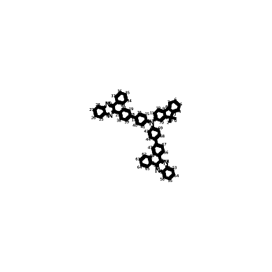 CC1(C)c2ccccc2-c2ccc(N(c3ccc(-c4ccc(-c5nc6ccccc6nc5-c5ccccc5)cc4)cc3)c3ccc(-c4ccc(-c5nc6ccccc6nc5-c5ccccc5)cc4)cc3)cc21